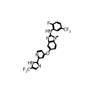 Cn1c(Nc2cc(C(F)(F)F)ccc2F)nc2cc(Oc3ccnc(-c4ncc(C(F)(F)F)[nH]4)c3)ccc21